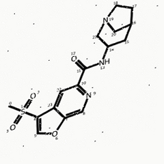 CS(=O)(=O)c1coc2cnc(C(=O)NC3CC4CCN(C4)C3)cc12